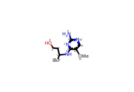 CCC(C)C(CCO)Nc1nc(N)ncc1OC